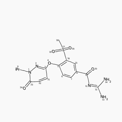 CC(C)n1nc(Oc2ccc(C(=O)N=C(N)N)cc2S(C)(=O)=O)ccc1=O